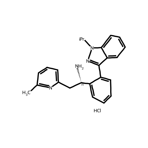 Cc1cccc(C[C@H](N)c2ccccc2-c2nn(C(C)C)c3ccccc23)n1.Cl